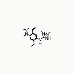 C=Cc1cc(NC2NN(C)N2C)c(CC)cc1N(C)N(C)C